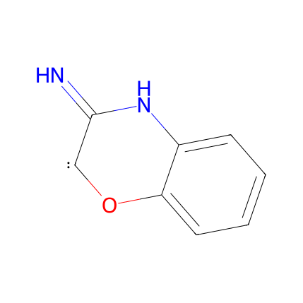 N=C1[C]Oc2ccccc2N1